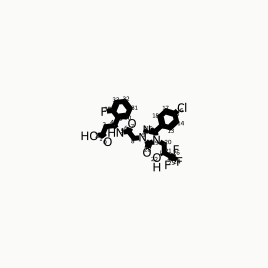 O=C(O)CC(NC(=O)Cn1nc(-c2ccc(Cl)cc2)n(C[C@H](O)C(F)(F)F)c1=O)c1ccccc1F